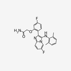 Cc1cccc(C)c1Nc1c(-c2ccc(F)cc2OCC(N)=O)nc2ccc(F)cn12